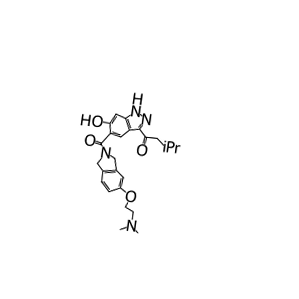 CC(C)CC(=O)c1n[nH]c2cc(O)c(C(=O)N3Cc4ccc(OCCN(C)C)cc4C3)cc12